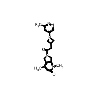 Cc1cc(=O)n(C)c2c1CN(C(=O)CC1CN(c3cnnc(C(F)(F)F)c3)C1)C2